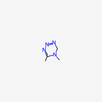 CC1=NN=NCN1C